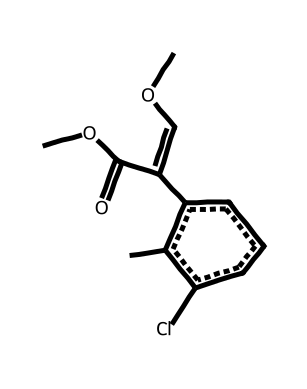 COC=C(C(=O)OC)c1cccc(Cl)c1C